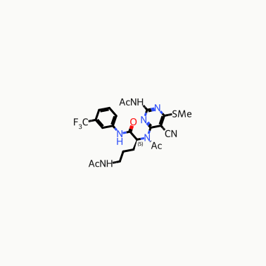 CSc1nc(NC(C)=O)nc(N(C(C)=O)[C@@H](CCCNC(C)=O)C(=O)Nc2cccc(C(F)(F)F)c2)c1C#N